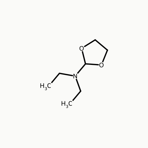 CCN(CC)C1OCCO1